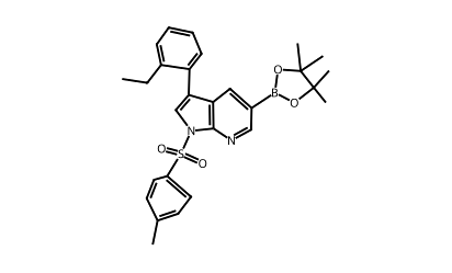 CCc1ccccc1-c1cn(S(=O)(=O)c2ccc(C)cc2)c2ncc(B3OC(C)(C)C(C)(C)O3)cc12